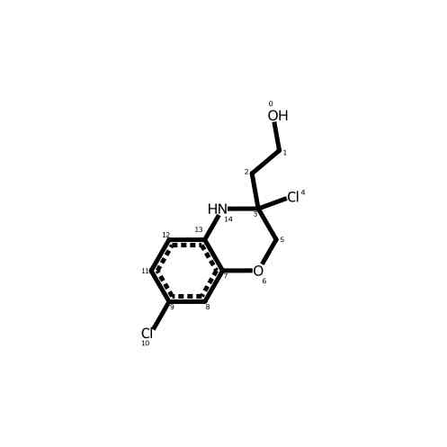 OCCC1(Cl)COc2cc(Cl)ccc2N1